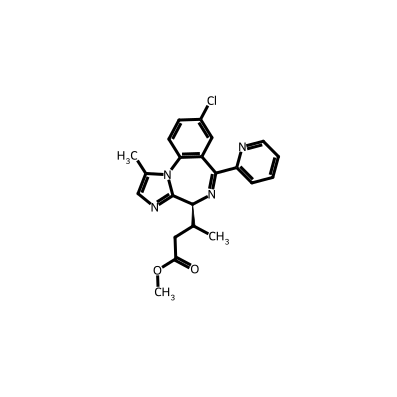 COC(=O)CC(C)[C@@H]1N=C(c2ccccn2)c2cc(Cl)ccc2-n2c(C)cnc21